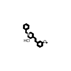 COc1cccc(C=CC2=CCN(Cc3ccccc3)CC2)c1.Cl